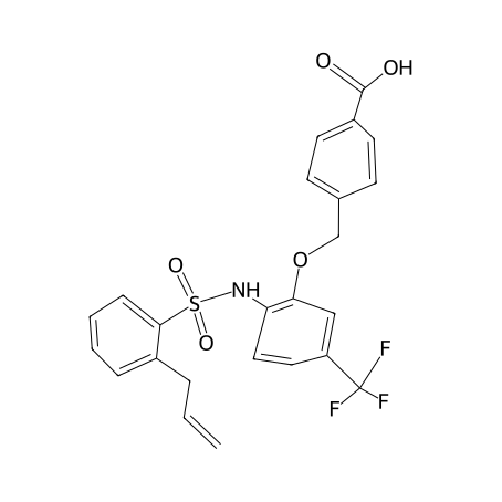 C=CCc1ccccc1S(=O)(=O)Nc1ccc(C(F)(F)F)cc1OCc1ccc(C(=O)O)cc1